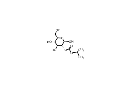 CC(C)OC(=O)O[C@@H]1[C@@H](O)[C@H](O)[C@@H](CO)O[C@H]1O